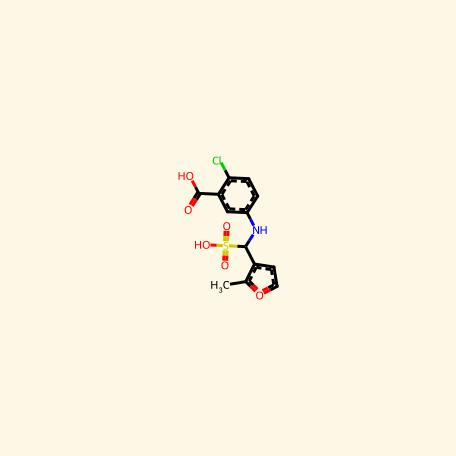 Cc1occc1C(Nc1ccc(Cl)c(C(=O)O)c1)S(=O)(=O)O